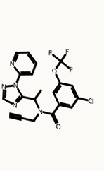 C#CCN(C(=O)c1cc(Cl)cc(OC(F)(F)F)c1)C(C)c1ncnn1-c1ccccn1